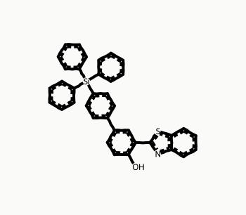 Oc1ccc(-c2ccc([Si](c3ccccc3)(c3ccccc3)c3ccccc3)cc2)cc1-c1nc2ccccc2s1